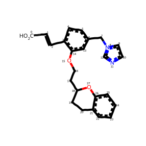 O=C(O)/C=C/c1ccc(Cn2ccnc2)cc1OCCC1CCc2ccccc2O1